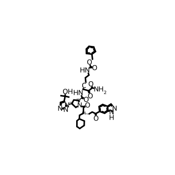 CC(C)(O)c1cnnn1[C@H]1C[C@@H](C(=O)NC(CCCCNC(=O)OCc2ccccc2)C(=O)C(N)=O)N(C(=O)[C@H](CCC(=O)c2ccc3cn[nH]c3c2)CC2CCCCC2)C1